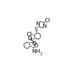 NC(=O)c1ccccc1S(=O)(=O)c1cccc(Sc2cnc(Cl)cn2)c1Cl